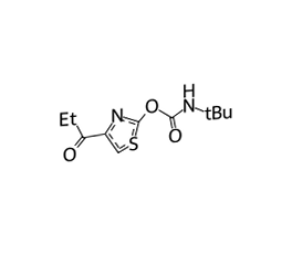 CCC(=O)c1csc(OC(=O)NC(C)(C)C)n1